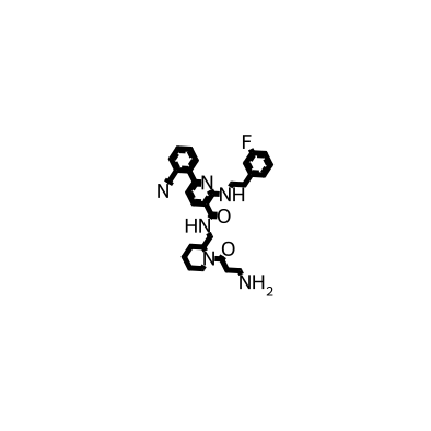 N#Cc1ccccc1-c1ccc(C(=O)NCC2CCCCN2C(=O)CCN)c(NCCc2cccc(F)c2)n1